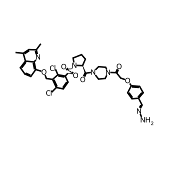 Cc1cc(C)c2cccc(OCc3c(Cl)ccc(S(=O)(=O)N4CCC[C@H]4C(=O)N4CCN(C(=O)COc5ccc(C=NN)cc5)CC4)c3Cl)c2n1